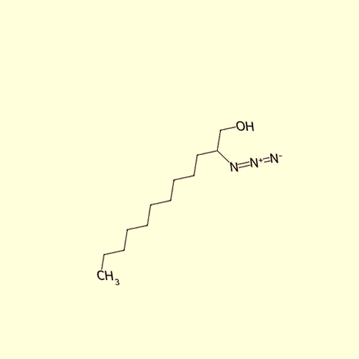 CCCCCCCCCCC(CO)N=[N+]=[N-]